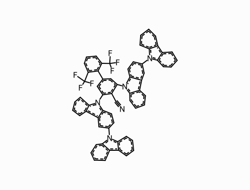 N#Cc1c(-n2c3ccccc3c3cc(-n4c5ccccc5c5ccccc54)ccc32)cc(-c2c(C(F)(F)F)cccc2C(F)(F)F)cc1-n1c2ccccc2c2cc(-n3c4ccccc4c4ccccc43)ccc21